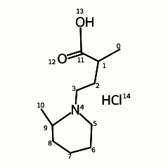 CC(CCN1CCCCC1C)C(=O)O.Cl